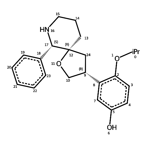 CC(C)Oc1ccc(O)cc1[C@@H]1CO[C@]2(CCCN[C@H]2c2ccccc2)C1